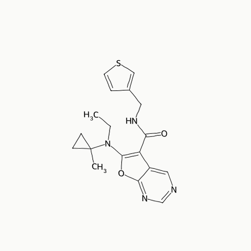 CCN(c1oc2ncncc2c1C(=O)NCc1ccsc1)C1(C)CC1